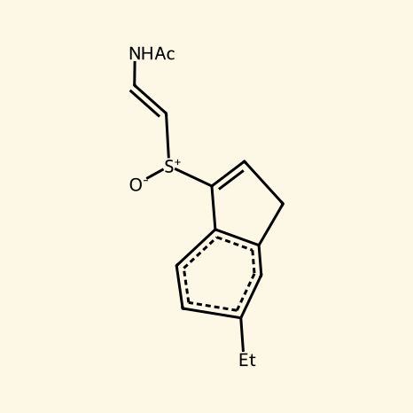 CCc1ccc2c(c1)CC=C2[S+]([O-])C=CNC(C)=O